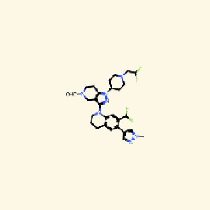 Cn1cc(-c2cc3c(cc2C(F)F)N(c2nn(C4CCN(CC(F)F)CC4)c4c2CN(C=O)CC4)CCC3)cn1